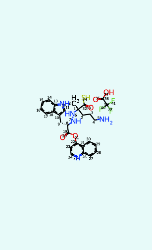 C[C@@](CCCN)(NN[C@@H](Cc1c[nH]c2ccccc12)C(=O)Oc1ccnc2ccccc12)C(=O)S.O=C(O)C(F)(F)F